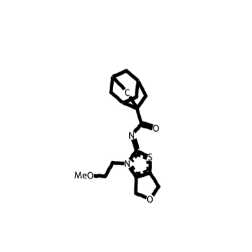 COCCn1c2c(s/c1=N\C(=O)C13CC4CC(CC1C4)C3)COC2